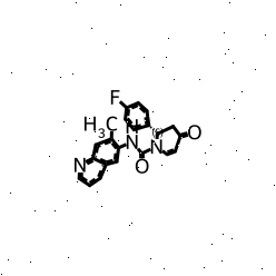 Cc1cc2ncccc2cc1NC(=O)N1C=CC(=O)C[C@H]1c1ccc(F)cc1